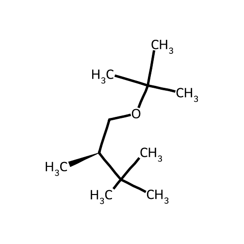 C[C@@H](COC(C)(C)C)C(C)(C)C